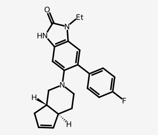 CCn1c(=O)[nH]c2cc(N3CC[C@H]4C=CC[C@@H]4C3)c(-c3ccc(F)cc3)cc21